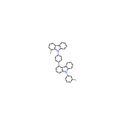 Cc1cccc(-n2c3ccccc3c3c(-c4ccc(-n5c6ccccc6c6cccc(C)c65)cc4)cccc32)c1